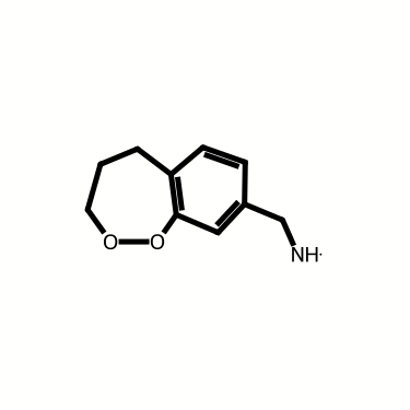 [NH]Cc1ccc2c(c1)OOCCC2